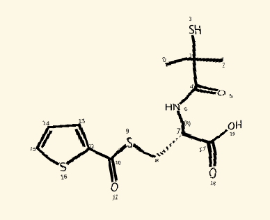 CC(C)(S)C(=O)N[C@@H](CSC(=O)c1cccs1)C(=O)O